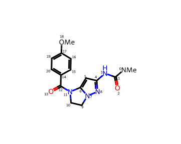 CNC(=O)Nc1cc2n(n1)CCN2C(=O)c1ccc(OC)cc1